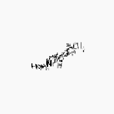 Cc1ccc(OCC(O)CN2CCN(CCO)CC2)cc1